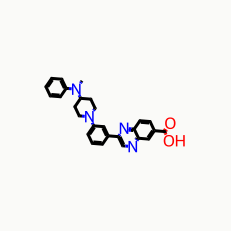 CN(c1ccccc1)C1CCN(c2cccc(-c3cnc4cc(C(=O)O)ccc4n3)c2)CC1